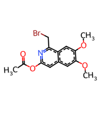 COc1cc2cc(OC(C)=O)nc(CBr)c2cc1OC